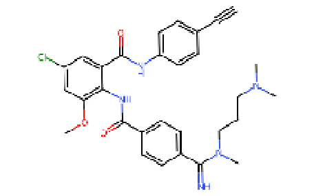 C#Cc1ccc(NC(=O)c2cc(Cl)cc(OC)c2NC(=O)c2ccc(C(=N)N(C)CCCN(C)C)cc2)cc1